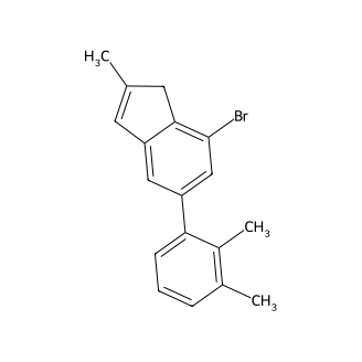 CC1=Cc2cc(-c3cccc(C)c3C)cc(Br)c2C1